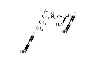 C.C.C.C.C.C.CN.N=C=O.N=C=O